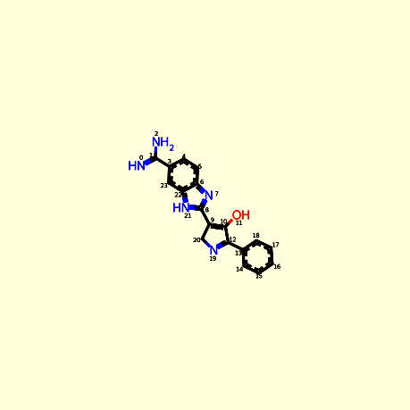 N=C(N)c1ccc2nc(C3=C(O)C(c4ccccc4)=NC3)[nH]c2c1